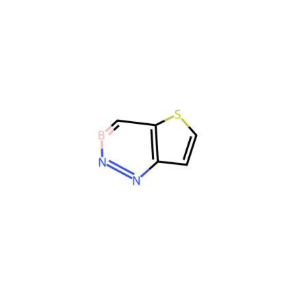 b1cc2sccc2nn1